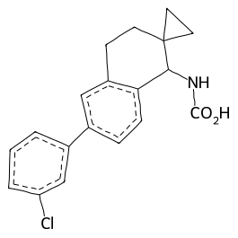 O=C(O)NC1c2ccc(-c3cccc(Cl)c3)cc2CCC12CC2